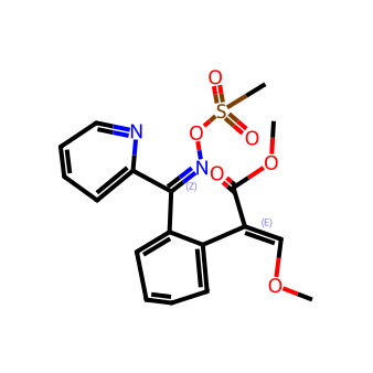 CO/C=C(/C(=O)OC)c1ccccc1/C(=N/OS(C)(=O)=O)c1ccccn1